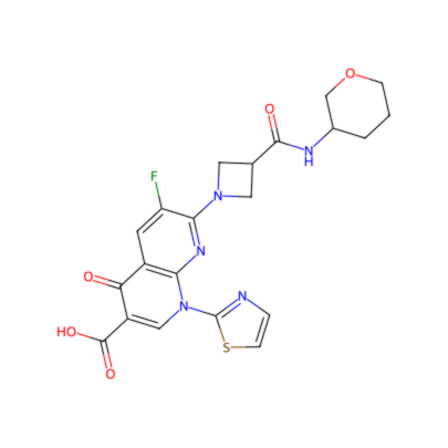 O=C(O)c1cn(-c2nccs2)c2nc(N3CC(C(=O)NC4CCCOC4)C3)c(F)cc2c1=O